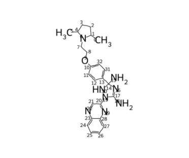 CC1CCC(C)N1CCOc1ccc(C2(N)N=C(N)N(c3cnc4ccccc4n3)N2)cc1